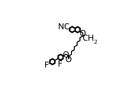 C=C(CCCCCCCCC(=O)Oc1ccc(-c2ccc(F)cc2)c(F)c1)Oc1ccc2cc(C#N)ccc2c1